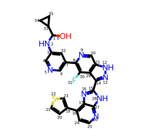 OC(Nc1cncc(-c2ncc3[nH]nc(-c4nc5c(-c6ccsc6)ccnc5[nH]4)c3c2F)c1)C1CC1